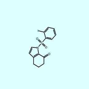 O=C1CCCc2ccn(S(=O)(=O)c3ccccc3I)c21